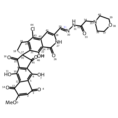 COC1=CC(=O)c2c(O)c3c(c(O)c2C1=O)C(=O)[C@]1(CCc2c1c(O)c1c(=O)[nH]c(/C=N/NC(=O)CN4CCOCC4)cc1c2Cl)C3=O